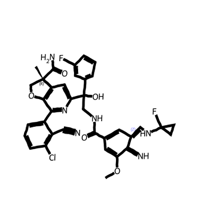 COC1=CC(C(=O)NCC(O)(c2cccc(F)c2)c2cc3c(c(-c4cccc(Cl)c4C#N)n2)OC[C@]3(C)C(N)=O)=C/C(=C/NC2(F)CC2)C1=N